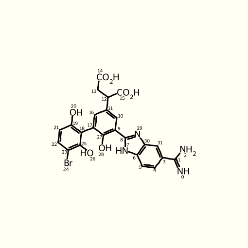 N=C(N)c1ccc2[nH]c(-c3cc(C(CC(=O)O)C(=O)O)cc(-c4c(O)ccc(Br)c4O)c3O)nc2c1